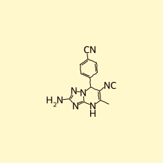 [C-]#[N+]C1=C(C)Nc2nc(N)nn2C1c1ccc(C#N)cc1